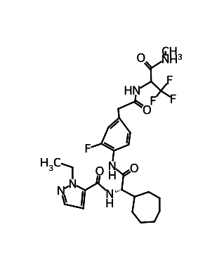 CCn1nccc1C(=O)N[C@H](C(=O)Nc1ccc(CC(=O)NC(C(=O)NC)C(F)(F)F)cc1F)C1CCCCCC1